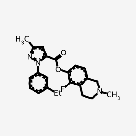 CCc1cccc(-n2nc(C)cc2C(=O)Oc2ccc3c(c2F)CCN(C)C3)c1